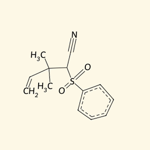 C=CC(C)(C)C(C#N)S(=O)(=O)c1ccccc1